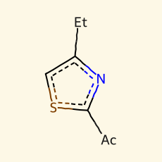 [CH2]Cc1csc(C(C)=O)n1